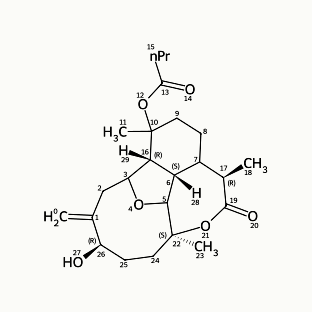 C=C1CC2OC3[C@H]4C(CCC(C)(OC(=O)CCC)[C@@H]24)[C@@H](C)C(=O)O[C@@]3(C)CC[C@H]1O